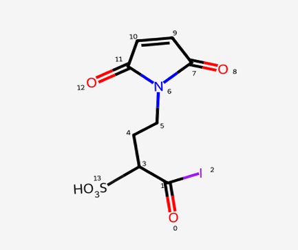 O=C(I)C(CCN1C(=O)C=CC1=O)S(=O)(=O)O